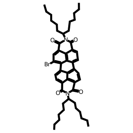 CCCCCCC(CCCCCC)N1C(=O)c2ccc3c4ccc5c6c(cc(Br)c(c7ccc(c2c37)C1=O)c64)C(=O)N(C(CCCCCC)CCCCCC)C5=O